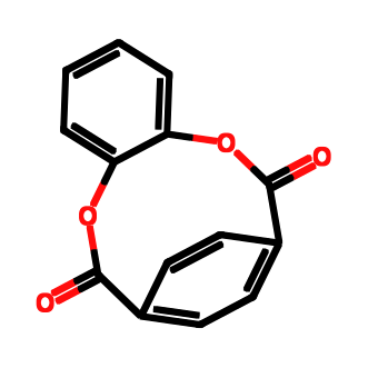 O=c1oc2ccccc2oc(=O)c2ccc1cc2